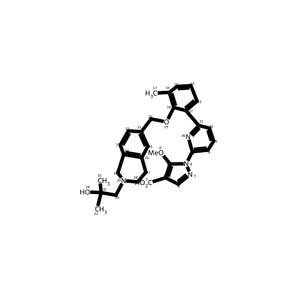 COc1c(C(=O)O)cnn1-c1cccc(-c2cccc(C)c2OCc2ccc3c(c2)CCN(CC(C)(C)O)C3)n1